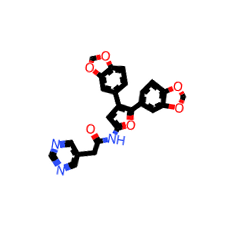 O=C(Cc1cncnc1)Nc1cc(-c2ccc3c(c2)OCO3)c(-c2ccc3c(c2)OCO3)o1